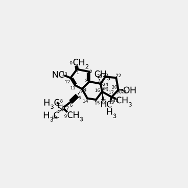 C=C1C=C2[C@](C#C[Si](C)(C)C)(C=C1C#N)CC[C@H]1C(C)(C)[C@H](O)CC[C@]21C